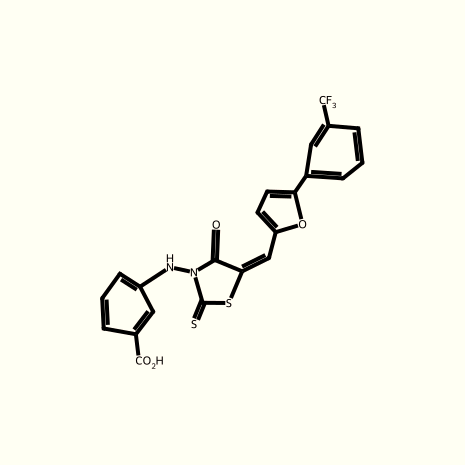 O=C(O)c1cccc(NN2C(=O)/C(=C\c3ccc(-c4cccc(C(F)(F)F)c4)o3)SC2=S)c1